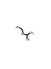 CCCCNC(C)C#N